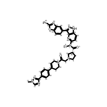 CCN(C(=O)[C@@H]1CCN(CC(=O)N2CC=C(c3ccc(-c4ncn(C)n4)cc3)CC2)C1)c1ccc2[nH]nc(-c3ccc4oc(C(C)C)nc4c3)c2n1